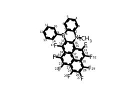 CN1c2ccccc2B(c2ccccc2)c2c(F)c3c(F)c(F)c4c(F)c(F)c(F)c5c(F)c(F)c(c21)c3c45